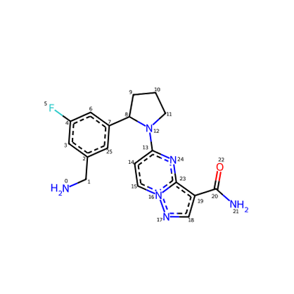 NCc1cc(F)cc(C2CCCN2c2ccn3ncc(C(N)=O)c3n2)c1